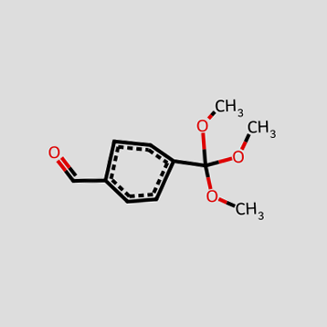 COC(OC)(OC)c1ccc(C=O)cc1